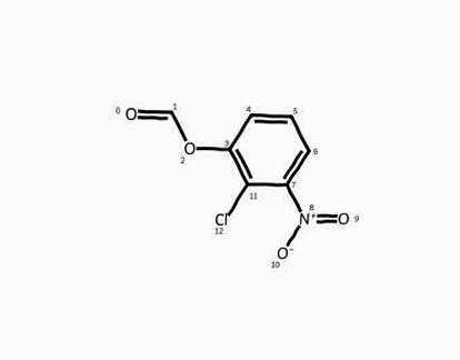 O=COc1cccc([N+](=O)[O-])c1Cl